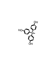 C[Si](c1ccc(O)cc1)(c1ccc(O)cc1)c1ccc(O)cc1